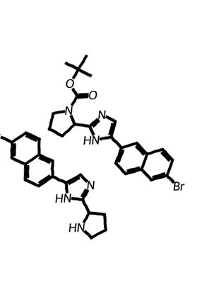 Brc1ccc2cc(-c3cnc(C4CCCN4)[nH]3)ccc2c1.CC(C)(C)OC(=O)N1CCCC1c1ncc(-c2ccc3cc(Br)ccc3c2)[nH]1